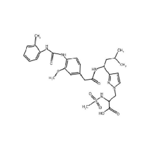 COc1cc(CC(=O)NC(CC(C)C)c2ccn(CC(NS(C)(=O)=O)C(=O)O)n2)ccc1NC(=O)Nc1ccccc1C